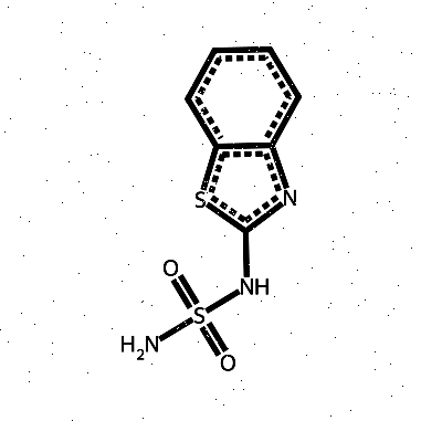 NS(=O)(=O)Nc1nc2ccccc2s1